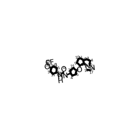 O=C(Nc1ccc(Oc2cccc3ccc4nccn4c23)cc1)Nc1ccc(OC(F)(F)F)cc1